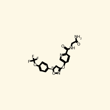 NC(=O)CNC(=O)c1ccc(OC2=NO[C@@H](c3ccc(OC(F)(F)F)cc3)C2)cn1